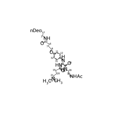 CCCCCCCCCCCCNC(=O)CCCOc1ccc(NC(NC(=O)CCCN(C)C)C(=O)NCCNC(C)=O)cc1